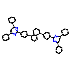 c1ccc(-c2cc(-c3ccccc3)nc(-c3ccc(-c4cccc5c(-c6ccc(-c7nc(-c8ccccc8)cc(-c8ccccc8)n7)cc6)cccc45)cc3)n2)cc1